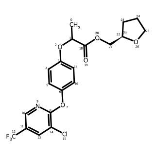 CC(Oc1ccc(Oc2ncc(C(F)(F)F)cc2Cl)cc1)C(=O)OC[C@H]1CCCO1